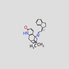 C/C=C1\C2C=C(C)CC1(/N=C/C=C1/CCc3ccccc31)c1ccc(=O)[nH]c1C2